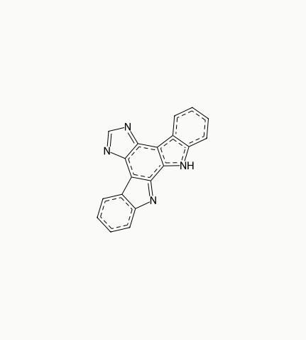 C1=Nc2c3c(c4[nH]c5ccccc5c4c2=N1)=Nc1ccccc1-3